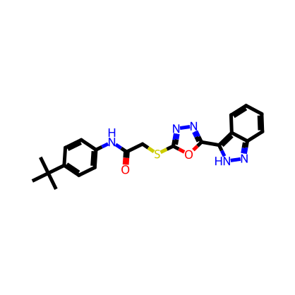 CC(C)(C)c1ccc(NC(=O)CSc2nnc(-c3[nH]nc4ccccc34)o2)cc1